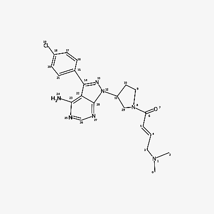 CN(C)CC=CC(=O)N1CCC(n2nc(-c3ccc(Cl)cc3)c3c(N)ncnc32)C1